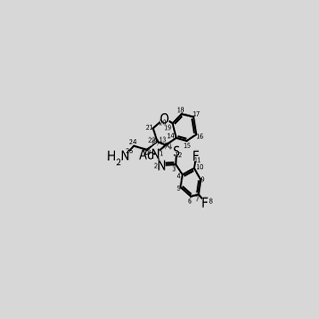 CC(=O)N1N=C(c2ccc(F)cc2F)S[C@]12c1ccccc1OC[C@@H]2CCN